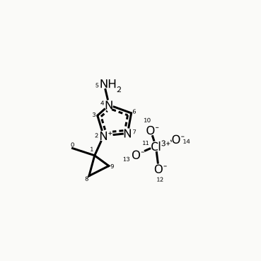 CC1([n+]2cn(N)cn2)CC1.[O-][Cl+3]([O-])([O-])[O-]